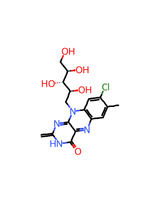 C=c1nc2c(c(=O)[nH]1)=Nc1cc(C)c(Cl)cc1N2C[C@H](O)[C@H](O)[C@H](O)CO